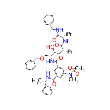 CC(C)[C@H](C[C@H](O)[C@H](COCc1ccccc1)NC(=O)c1cc(C(=O)N[C@@H](C)c2ccccc2)cc(N(C)S(C)(=O)=O)c1)C(=O)N[C@H](C(=O)NCc1ccccc1)C(C)C